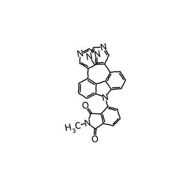 CN1C(=O)c2cccc(-n3c4cccc(-c5cncnc5)c4c4c(-c5cncnc5)cccc43)c2C1=O